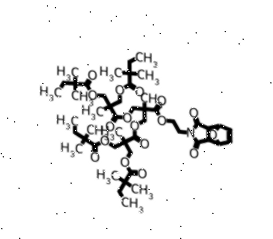 CCC(C)(C)C(=O)OCC(C)(COC(=O)C(C)(C)CC)C(=O)OCC(C)(COC(=O)C(C)(COC(=O)C(C)(C)CC)COC(=O)C(C)(C)CC)C(=O)OCCN1C(=O)C2C3C=CC(O3)C2C1=O